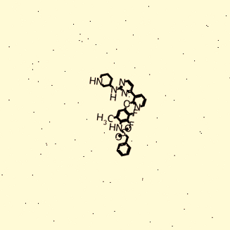 Cc1cc(Oc2ncccc2-c2ccnc(NC3CCCNC3)n2)c(F)c(F)c1NS(=O)(=O)Cc1ccccc1